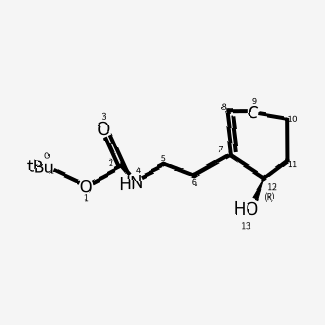 CC(C)(C)OC(=O)NCCC1=CCCC[C@H]1O